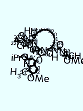 COc1ccc2c(O[C@@H]3C[C@H]4C(=O)N[C@]5(C(=O)NS(=O)(=O)C6(C)CC6)C[C@H]5/C=C\CCCCC[C@H](NC(=O)N5CC(C)(OC)C5)C(=O)N4C3)cc(OC(C)C)nc2c1C